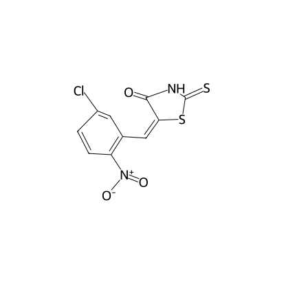 O=C1NC(=S)SC1=Cc1cc(Cl)ccc1[N+](=O)[O-]